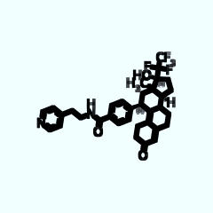 CC12C[C@H](c3ccc(C(=O)NCCc4ccncc4)cc3)C3=C4CCC(=O)C=C4CCC3[C@@H]1CC[C@@]2(O)C(F)(F)C(F)(F)F